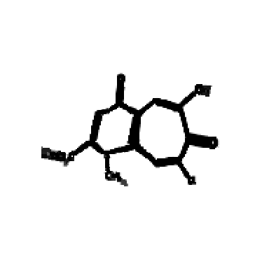 CCOC(=O)c1cc(=O)c2cc(O)c(=O)c(Cl)cc2n1C